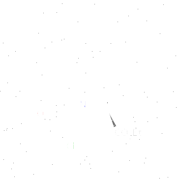 CCOC(=O)[C@@H]1Cc2ccccc2N1C(=O)Cl